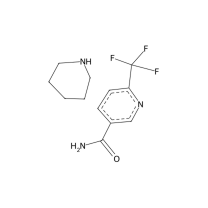 C1CCNCC1.NC(=O)c1ccc(C(F)(F)F)nc1